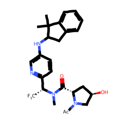 CC(=O)N1C[C@H](O)C[C@H]1C(=O)N(C)[C@@H](c1ccc(NC2Cc3ccccc3C2(C)C)cn1)C(F)(F)F